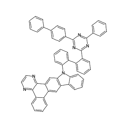 c1ccc(-c2ccc(-c3nc(-c4ccccc4)nc(-c4ccccc4-c4ccccc4-n4c5ccccc5c5cc6c7ccccc7c7nccnc7c6cc54)n3)cc2)cc1